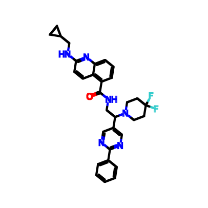 O=C(NCC(c1cnc(-c2ccccc2)nc1)N1CCC(F)(F)CC1)c1cccc2nc(NCC3CC3)ccc12